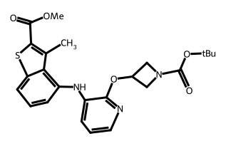 COC(=O)c1sc2cccc(Nc3cccnc3OC3CN(C(=O)OC(C)(C)C)C3)c2c1C